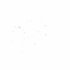 c1ccc2c(c1)-c1cccc3c(-n4c5ccc6ccccc6c5c5c4ccc4c6ccccc6n(-c6cccc7ccccc67)c45)ccc-2c13